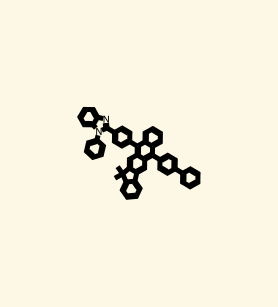 CC1(C)c2ccccc2-c2cc3c(-c4ccc(-c5ccccc5)cc4)c4ccccc4c(-c4ccc(-c5nc6ccccc6n5-c5ccccc5)cc4)c3cc21